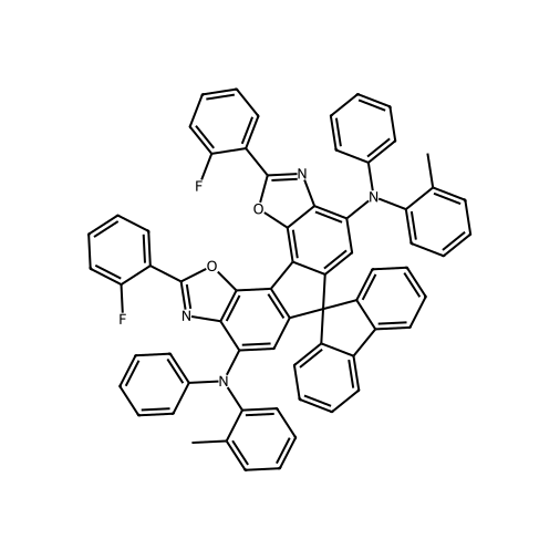 Cc1ccccc1N(c1ccccc1)c1cc2c(c3oc(-c4ccccc4F)nc13)-c1c(cc(N(c3ccccc3)c3ccccc3C)c3nc(-c4ccccc4F)oc13)C21c2ccccc2-c2ccccc21